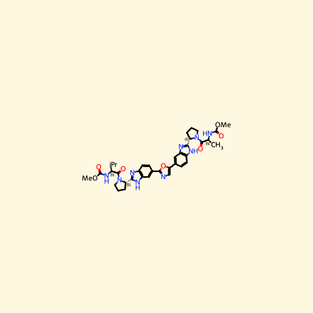 COC(=O)N[C@@H](C)C(=O)N1CCC[C@H]1c1nc2cc(-c3cnc(-c4ccc5nc([C@@H]6CCCN6C(=O)[C@@H](NC(=O)OC)C(C)C)[nH]c5c4)o3)ccc2[nH]1